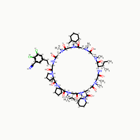 CC[C@H](C)[C@@H]1NC(=O)[C@H](C)N(C)C(=O)C[C@@H](C(=O)N2CCCCC2)N(C)C(=O)[C@H](C(C)C)N(C)C(=O)C2(CCCC2)NC(=O)[C@@H]2CCCN2C(=O)[C@H](CCc2cc(Cl)c(Cl)c(C#N)c2)NC(=O)CN(C)C(=O)[C@H](CC2CCCCC2)N(C)C(=O)CN(C)C(=O)CN(C)C1=O